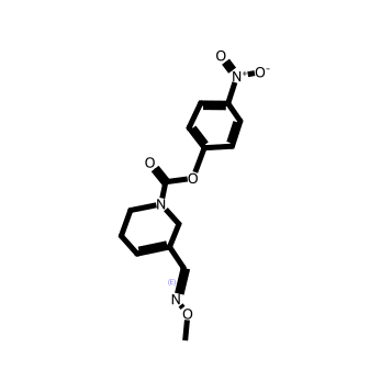 CO/N=C/C1=CCCN(C(=O)Oc2ccc([N+](=O)[O-])cc2)C1